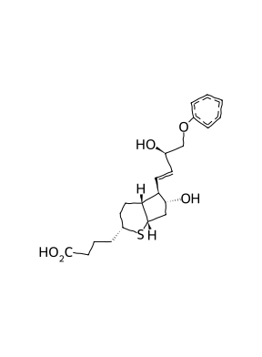 O=C(O)CCC[C@@H]1CC[C@@H]2[C@@H](C=C[C@@H](O)COc3ccccc3)[C@H](O)C[C@@H]2S1